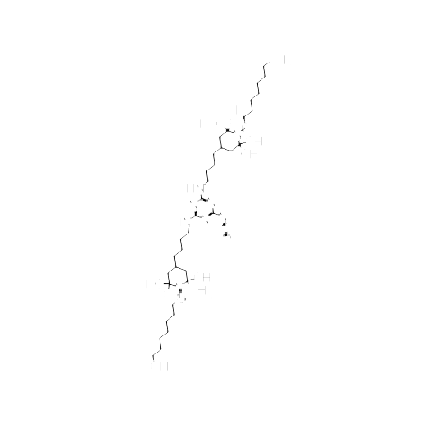 CCCCCCCCON1C(C)(C)CC(CCCCNc2nc(N=C=O)nc(NCCCCC3CC(C)(C)N(OCCCCCCCC)C(C)(C)C3)n2)CC1(C)C